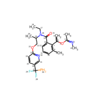 C=C(O/C(C)=N\C)c1c(C)cccc1C(=O)N(CC)C(C)COc1ccc(C(F)(F)P)cn1